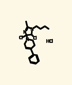 CCCCN1C(C)=NC(Cl)(N2CC=C(c3ccccc3)CC2)C1Cl.Cl